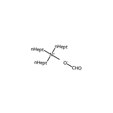 CCCCCCC[N+](C)(CCCCCCC)CCCCCCC.O=C[O-]